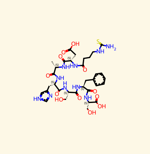 C[C@H](NC(=O)[C@H](CC(=O)O)NC(=O)CCCNC(N)=S)C(=O)N[C@@H](Cc1c[nH]cn1)C(=O)N[C@@H](CO)C(=O)N[C@@H](Cc1ccccc1)C(=O)N[C@@H](CO)C(=O)O